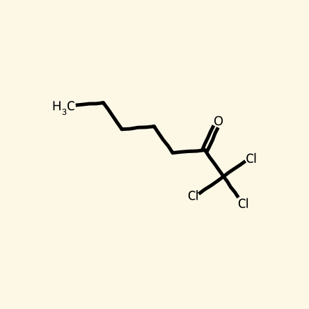 CCCCCC(=O)C(Cl)(Cl)Cl